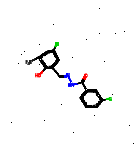 O=C(N/N=C/c1cc(Cl)cc(C(F)(F)F)c1O)c1cccc(Cl)c1